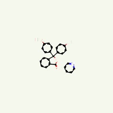 O=C1OC(c2ccc(O)cc2)(c2ccc(O)cc2)c2ccccc21.c1ccncc1